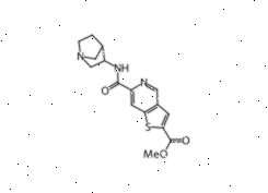 COC(=O)c1cc2cnc(C(=O)NC3CN4CCC3C4)cc2s1